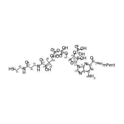 CCCCCC#CC(=O)c1nc(N)c2ncn([C@@H]3O[C@H](COP(=O)(O)OP(=O)(O)OCC(C)(C)[C@@H](O)C(=O)NCCC(=O)NCCS)[C@@H](OP(=O)(O)O)[C@H]3O)c2n1